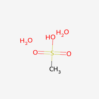 CS(=O)(=O)O.O.O